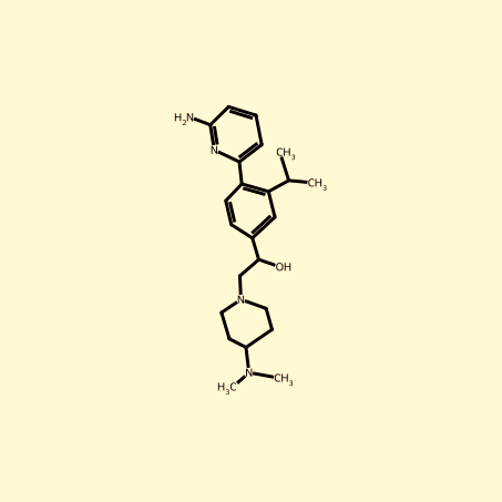 CC(C)c1cc(C(O)CN2CCC(N(C)C)CC2)ccc1-c1cccc(N)n1